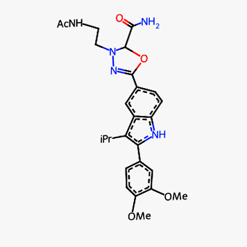 COc1ccc(-c2[nH]c3ccc(C4=NN(CCNC(C)=O)C(C(N)=O)O4)cc3c2C(C)C)cc1OC